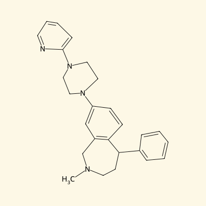 CN1CCC(c2ccccc2)c2ccc(N3CCN(c4ccccn4)CC3)cc2C1